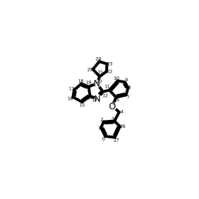 c1ccc(COc2ccccc2-c2nc3ccccc3n2C2CCCC2)cc1